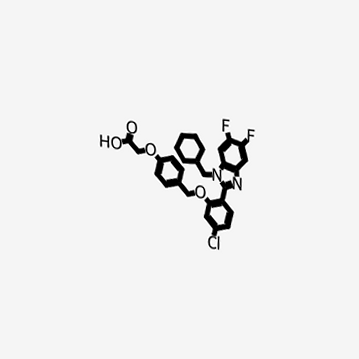 O=C(O)COc1ccc(COc2cc(Cl)ccc2-c2nc3cc(F)c(F)cc3n2CC2CCCCC2)cc1